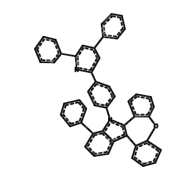 c1ccc(-c2cc(-c3ccccc3)nc(-c3ccc(-n4c5c(c6cccc(-c7ccccc7)c64)-c4ccccc4Oc4ccccc4-5)cc3)c2)cc1